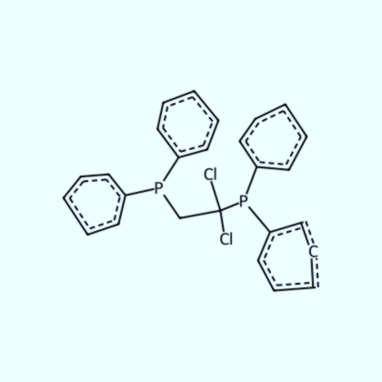 ClC(Cl)(CP(c1ccccc1)c1ccccc1)P(c1ccccc1)c1ccccc1